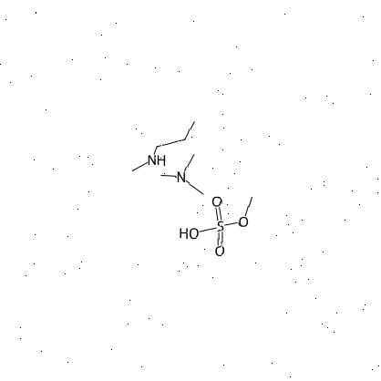 CCCNC.CN(C)C.COS(=O)(=O)O